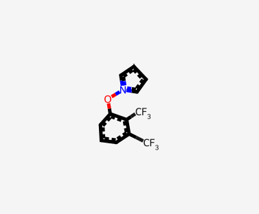 FC(F)(F)c1cccc(On2c[c]cc2)c1C(F)(F)F